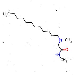 CCCCCCCCCCCCN(C)CC(=O)NC